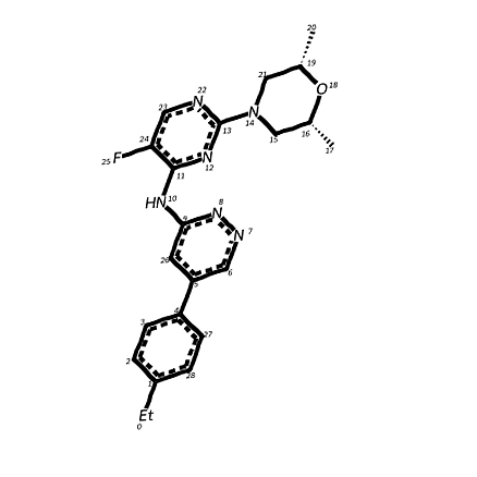 CCc1ccc(-c2cnnc(Nc3nc(N4C[C@@H](C)O[C@@H](C)C4)ncc3F)c2)cc1